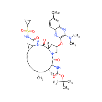 CC[C@@H]1C[C@H](C)CC/C=C\C2C[C@@]2(C(=O)NS(=O)(=O)C2CC2)NC(=O)[C@@H]2C[C@@H](Oc3nc4ccc(OC)cc4nc3N(C)C)CN2C(=O)[C@H]1NC(=O)OC(C)(C)C(F)(F)F